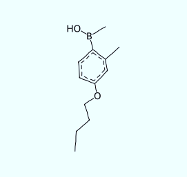 CCCCOc1ccc(B(C)O)c(C)c1